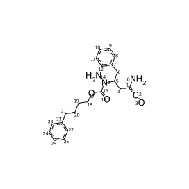 NC(=C=O)CC(Cc1ccccc1)N(N)C(=O)OCCCCc1ccccc1